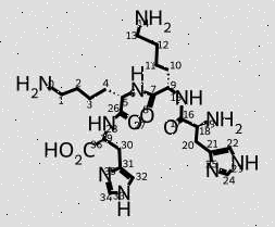 NCCCC[C@H](NC(=O)[C@H](CCCCN)NC(=O)[C@@H](N)Cc1c[nH]cn1)C(=O)N[C@@H](Cc1c[nH]cn1)C(=O)O